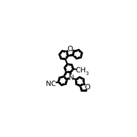 Cc1cc(-c2cccc3oc4ccccc4c23)cc2c3cc(C#N)ccc3n(-c3ccc4occc4c3)c12